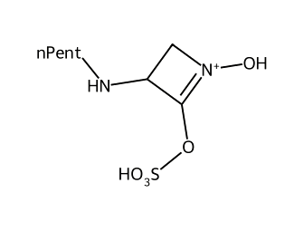 CCCCCNC1C[N+](O)=C1OS(=O)(=O)O